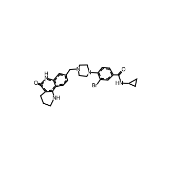 O=C(NC1CC1)c1ccc(N2CCN(Cc3ccc4c5c(c(=O)[nH]c4c3)CCCN5)CC2)c(Br)c1